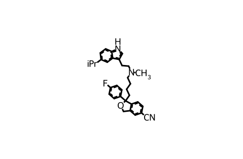 CC(C)c1ccc2[nH]cc(CCN(C)CCCCC3(c4ccc(F)cc4)OCc4cc(C#N)ccc43)c2c1